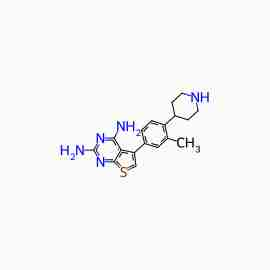 Cc1cc(-c2csc3nc(N)nc(N)c23)ccc1C1CCNCC1